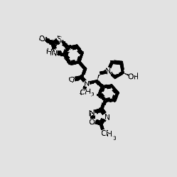 Cc1nc(-c2cccc([C@@H](CN3CC[C@H](O)C3)N(C)C(=O)Cc3ccc4sc(=O)[nH]c4c3)c2)no1